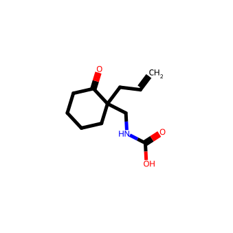 C=CCC1(CNC(=O)O)CCCCC1=O